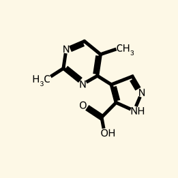 Cc1ncc(C)c(-c2cn[nH]c2C(=O)O)n1